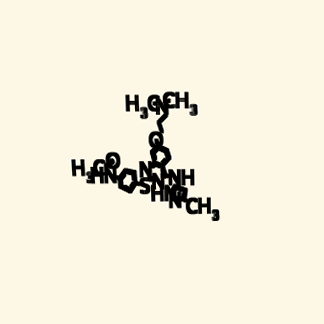 CC(=O)Nc1ccc(Sc2nc(Nc3cc(C)n[nH]3)c3ccc(OCCCN(C)C)cc3n2)cc1